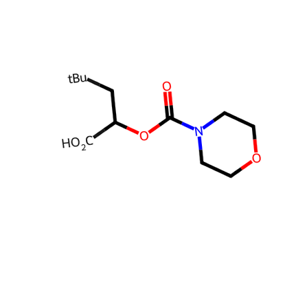 CC(C)(C)CC(OC(=O)N1CCOCC1)C(=O)O